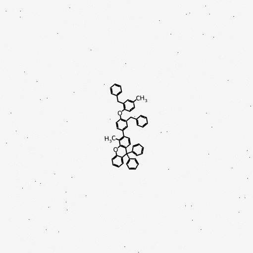 Cc1ccc(Oc2ccc(-c3ccc4c(c3C)Oc3ccccc3C4(c3ccccc3)c3ccccc3)cc2Cc2ccccc2)c(Cc2ccccc2)c1